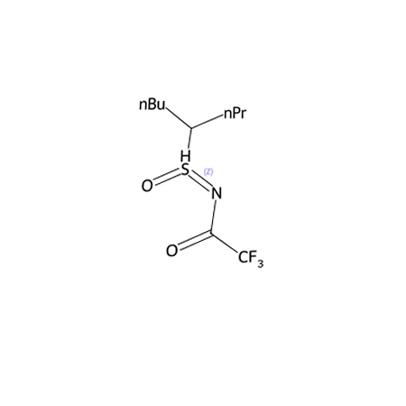 CCCCC(CCC)/[SH](=O)=N/C(=O)C(F)(F)F